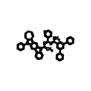 C=C(/N=C(\N=C(/N)c1cc(-c2ccccc2)cc(-c2ccccc2)c1)c1cccnc1)n1c2ccccc2c2cc3c(cc21)c1c(n3-c2ccccc2)C=CCC=C1